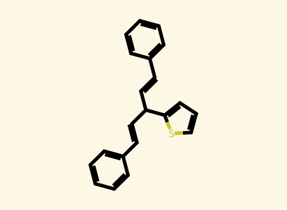 C(=CC(C=Cc1ccccc1)c1cccs1)c1ccccc1